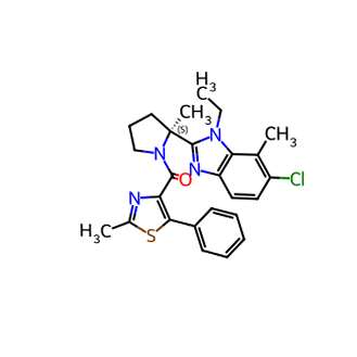 CCn1c([C@]2(C)CCCN2C(=O)c2nc(C)sc2-c2ccccc2)nc2ccc(Cl)c(C)c21